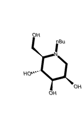 CCCCN1C[C@@H](O)[C@@H](O)[C@H](O)[C@H]1CO